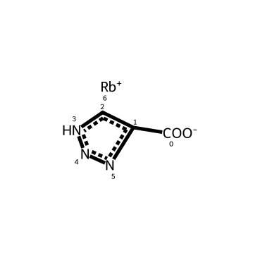 O=C([O-])c1c[nH]nn1.[Rb+]